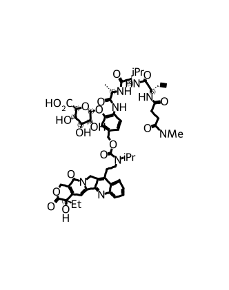 C#C[C@H](NC(=O)CCC(=O)NC)C(=O)N[C@H](C(=O)N[C@@H](C)C(=O)Nc1ccc(COC(=O)N(CCc2c3c(nc4ccccc24)-c2cc4c(c(=O)n2C3)COC(=O)[C@]4(O)CC)C(C)C)cc1O[C@@H]1O[C@H](C(=O)O)[C@@H](O)[C@H](O)[C@H]1O)C(C)C